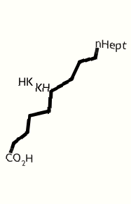 CCCCCCCCCCCCCCCC(=O)O.[KH].[KH]